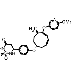 C=C1CC[C@@H](Oc2ccc(C3CC(=O)NS(=O)(=O)N3)cc2)C/C=C\C=C/1Oc1ccc(OC)nc1